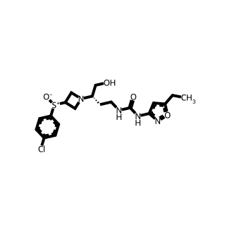 CCc1cc(NC(=O)NCC[C@@H](CO)N2CC([S+]([O-])c3ccc(Cl)cc3)C2)no1